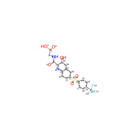 O=C(O)CNC(=O)c1nc2ccc(S(=O)(=O)c3ccc(C(F)(F)F)cc3)cc2cc1O